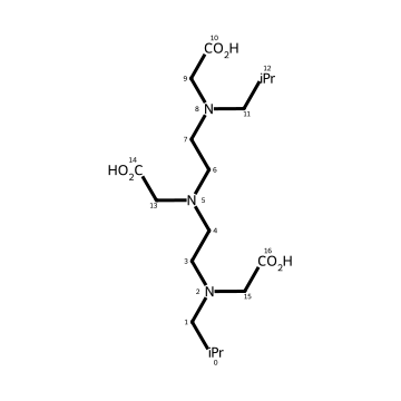 CC(C)CN(CCN(CCN(CC(=O)O)CC(C)C)CC(=O)O)CC(=O)O